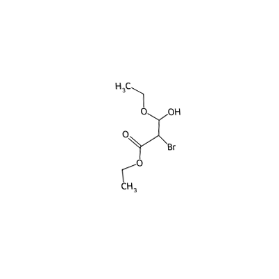 CCOC(=O)C(Br)C(O)OCC